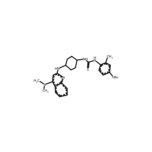 CCCCc1ccc(NC(=S)NC2CCC(Nc3cc(N(C)C)c4ccccc4n3)CC2)c(C)c1